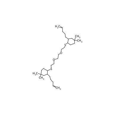 C=CCCCC1CC(C)(C)CCC1SCCOCCOCCSC1CCC(C)(C)CC1CCCC=C